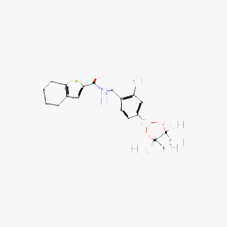 Cc1cc(B2OC(C)(C)C(C)(C)O2)ccc1CNC(=O)c1cc2c(s1)CCCC2